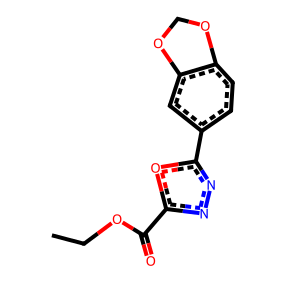 CCOC(=O)c1nnc(-c2ccc3c(c2)OCO3)o1